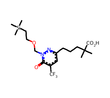 CC(C)(CCCc1cc(C(F)(F)F)c(=O)n(COCC[Si](C)(C)C)n1)C(=O)O